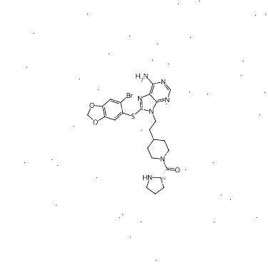 Nc1ncnc2c1nc(Sc1cc3c(cc1Br)OCO3)n2CCC1CCN(C(=O)[C@@H]2CCCN2)CC1